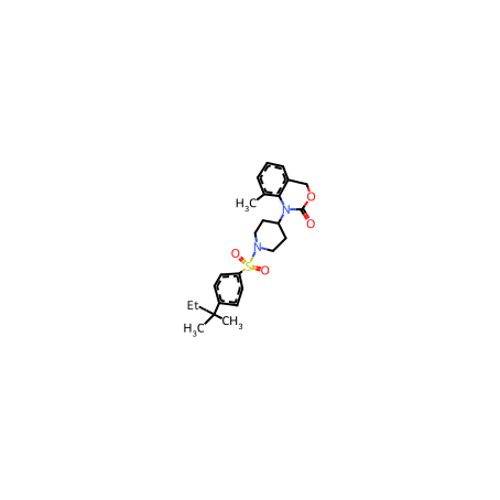 CCC(C)(C)c1ccc(S(=O)(=O)N2CCC(N3C(=O)OCc4cccc(C)c43)CC2)cc1